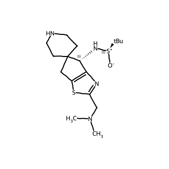 CN(C)Cc1nc2c(s1)CC1(CCNCC1)[C@@H]2N[S@+]([O-])C(C)(C)C